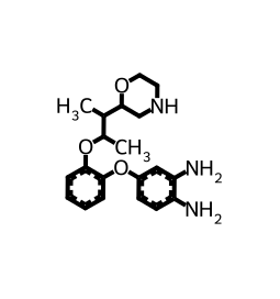 CC(Oc1ccccc1Oc1ccc(N)c(N)c1)C(C)C1CNCCO1